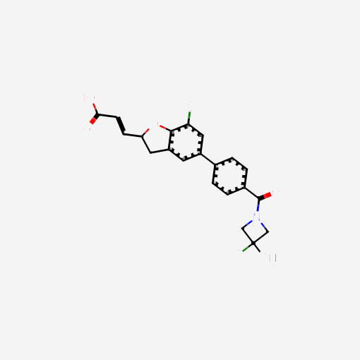 CC1(F)CN(C(=O)c2ccc(-c3cc(Cl)c4c(c3)CC(/C=C/C(=O)O)O4)cc2)C1